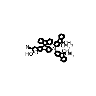 CC1(C)c2ccccc2-c2ccc(N(c3ccc4c(c3)C(C)(C)c3ccccc3-4)c3ccc4c(c3)C3(c5ccccc5-c5ccccc53)c3cc(C=C(C#N)C(=O)O)ccc3-4)cc21